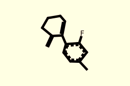 C=C1CCCC=C1c1ccc(C)cc1F